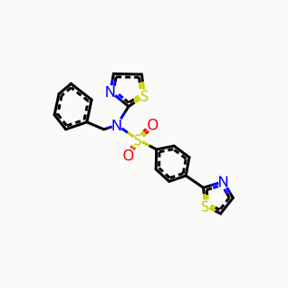 O=S(=O)(c1ccc(-c2nccs2)cc1)N(Cc1ccccc1)c1nccs1